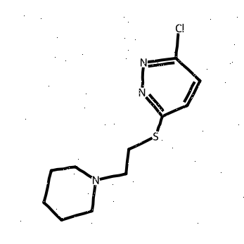 Clc1ccc(SCCN2CCCCC2)nn1